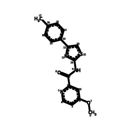 COc1ccnc(C(=O)Nc2nc(-c3ccc(C)cc3)cs2)c1